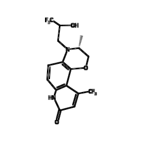 C[C@@H]1COc2c(ccc3[nH]c(=O)cc(C(F)(F)F)c23)N1CC(O)C(F)(F)F